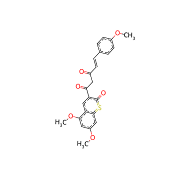 COc1ccc(C=CC(=O)CC(=O)c2cc3c(OC)cc(OC)cc3sc2=O)cc1